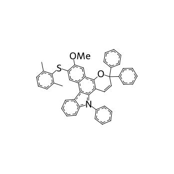 COc1cc2c3c(c4c(c2cc1Sc1c(C)cccc1C)c1ccccc1n4-c1ccccc1)C=CC(c1ccccc1)(c1ccccc1)O3